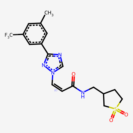 Cc1cc(-c2ncn(/C=C\C(=O)NCC3CCS(=O)(=O)C3)n2)cc(C(F)(F)F)c1